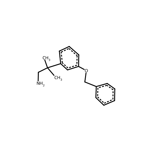 CC(C)(CN)c1cccc(OCc2ccccc2)c1